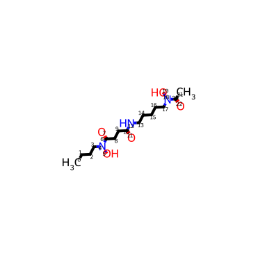 CCCCN(O)C(=O)CCC(=O)NCCCCCN(O)C(C)=O